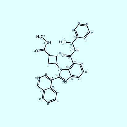 CNC(=O)C1CC(n2c(-c3cncc4ccccc34)nc3cccc(C(=O)N[C@@H](C)c4ccccc4)c32)C1